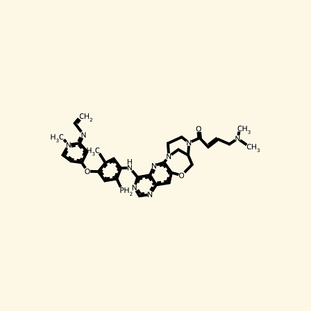 C=C/N=c1/cc(Oc2cc(P)c(Nc3ncnc4cc5c(nc34)N3CCN(C(=O)/C=C/CN(C)C)C(CO5)C3)cc2C)ccn1C